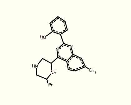 Cc1ccc2c(C3CNCC(C(C)C)N3)nc(-c3ccccc3O)nc2c1